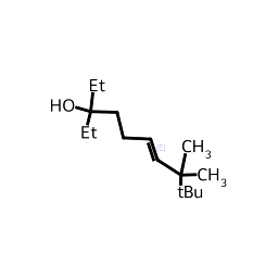 CCC(O)(CC)CC/C=C/C(C)(C)C(C)(C)C